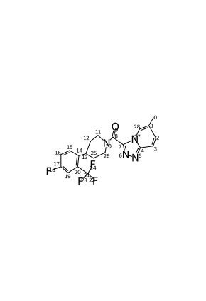 Cc1ccc2nnc(C(=O)N3CCC(c4ccc(F)cc4C(F)(F)F)CC3)n2c1